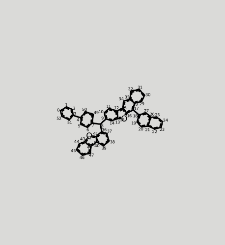 c1ccc(-c2ccc(C(c3ccc4c(c3)oc3c(-c5ccc6ccccc6c5)c5ccccc5cc34)c3cccc4c3oc3ccccc34)cc2)cc1